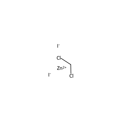 ClCCl.[I-].[I-].[Zn+2]